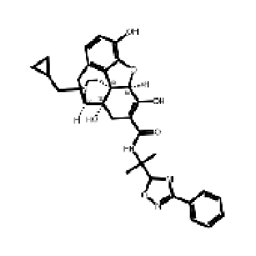 CC(C)(NC(=O)C1=C(O)[C@@H]2Oc3c(O)ccc4c3[C@@]23CCN(CC2CC2)[C@H](C4)[C@]3(O)C1)C1NC(c2ccccc2)=NO1